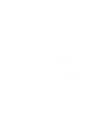 Nc1cnn(C(c2ccccc2)C2CCS(=O)(=O)CC2)c1